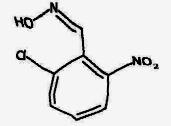 O=[N+]([O-])c1cccc(Cl)c1/C=N\O